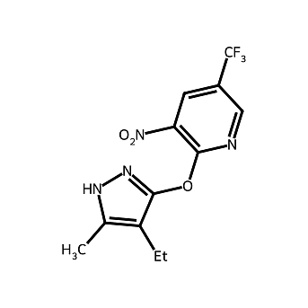 CCc1c(Oc2ncc(C(F)(F)F)cc2[N+](=O)[O-])n[nH]c1C